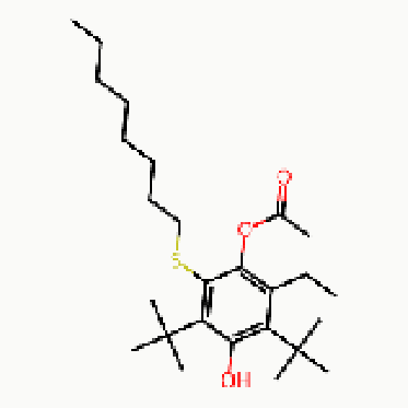 CCCCCCCCSc1c(OC(C)=O)c(CC)c(C(C)(C)C)c(O)c1C(C)(C)C